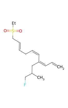 C=C/C=C(\C=C/C/C=C/CS(=O)(=O)CC)CC(C)CF